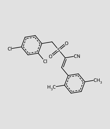 Cc1ccc(C)c(/C=C(\C#N)S(=O)(=O)Cc2ccc(Cl)cc2Cl)c1